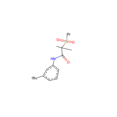 CC(C)S(=O)(=O)C(C)(C)C(=O)Nc1cccc(C(C)(C)C)c1